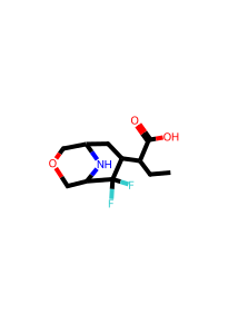 CCC(C(=O)O)C1CC2COCC(N2)C1(F)F